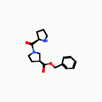 O=C(OCc1ccccc1)[C@H]1CCN(C(=O)[C@H]2CCCN2)C1